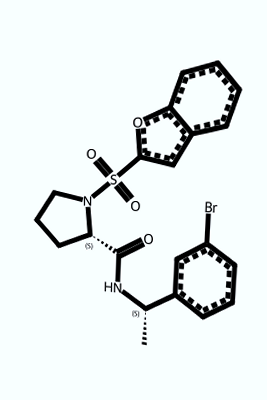 C[C@H](NC(=O)[C@@H]1CCCN1S(=O)(=O)c1cc2ccccc2o1)c1cccc(Br)c1